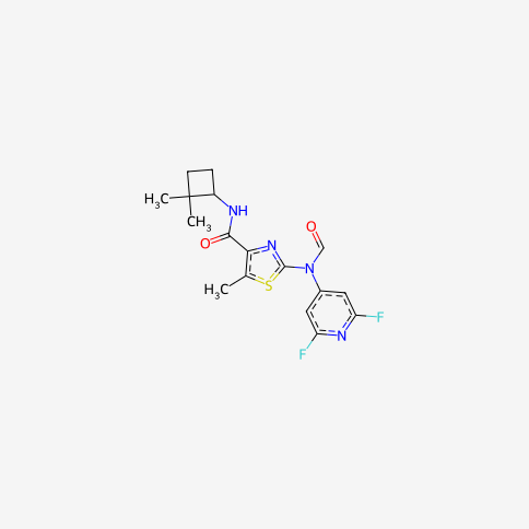 Cc1sc(N(C=O)c2cc(F)nc(F)c2)nc1C(=O)NC1CCC1(C)C